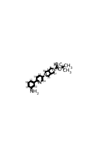 CC(C)(C)OC(=O)N1CC2CN(c3ccc(-c4cccc(N)c4)nc3)CC2C1